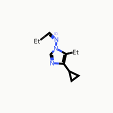 CC/C=N\n1cnc(C2CC2)c1CC